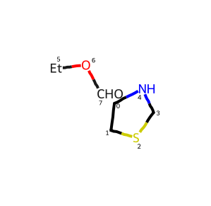 C1CSCN1.CCOC=O